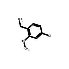 BCc1ccc(Cl)cc1BC